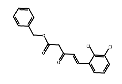 O=C(C=Cc1cccc(Cl)c1Cl)CC(=O)OCc1ccccc1